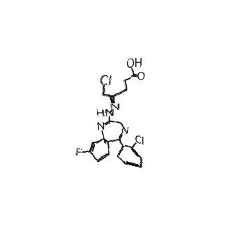 O=C(O)CCC(CCl)=NNC1=Nc2cc(F)ccc2C(c2ccccc2Cl)=NC1